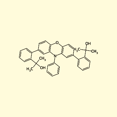 CC(C)(O)c1ccccc1-c1ccc2c(c1)N(c1ccccc1)c1cc(-c3ccccc3C(C)(C)O)ccc1O2